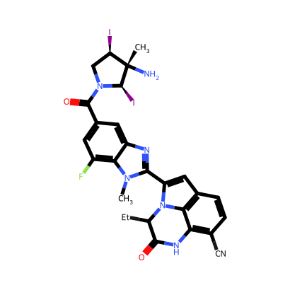 CCC1C(=O)Nc2c(C#N)ccc3cc(-c4nc5cc(C(=O)N6C[C@@H](I)[C@](C)(N)[C@H]6I)cc(F)c5n4C)n1c23